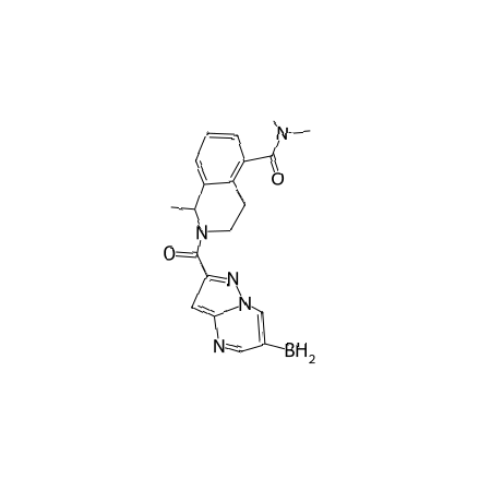 Bc1cnc2cc(C(=O)N3CCc4c(C(=O)N(C)C)cccc4C3C)nn2c1